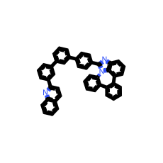 c1cc(-c2ccc(-c3nc4cccc5c4n3-c3ccccc3-c3ccccc3-5)cc2)cc(-c2cccc(-c3ccc4ccccc4n3)c2)c1